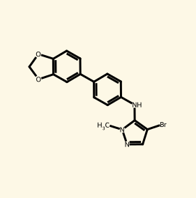 Cn1ncc(Br)c1Nc1ccc(-c2ccc3c(c2)OCO3)cc1